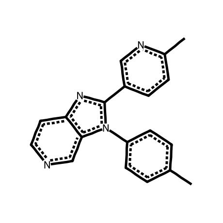 Cc1ccc(-n2c(-c3ccc(C)nc3)nc3ccncc32)cc1